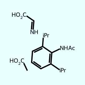 CC(=O)Nc1c(C(C)C)cccc1C(C)C.CC(=O)O.N=CC(=O)O